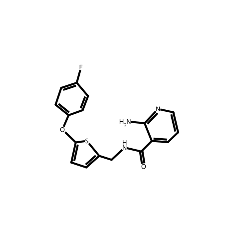 Nc1ncccc1C(=O)NCc1ccc(Oc2ccc(F)cc2)s1